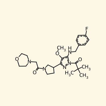 COc1c(C2CCN(C(=O)CN3CCOCC3)C2)nn(C(=O)C(C)(C)C)c1NCc1ccc(F)cc1